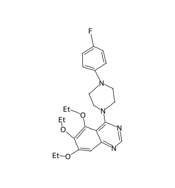 CCOc1cc2ncnc(N3CCN(c4ccc(F)cc4)CC3)c2c(OCC)c1OCC